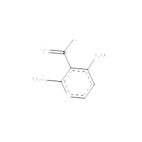 CNc1ccnc(NC)c1C(C)=N